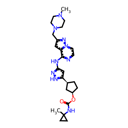 CN1CCN(Cc2cc3c(Nc4cc([C@H]5CC[C@@H](OC(=O)NC6(C)CC6)C5)[nH]n4)nccn3n2)CC1